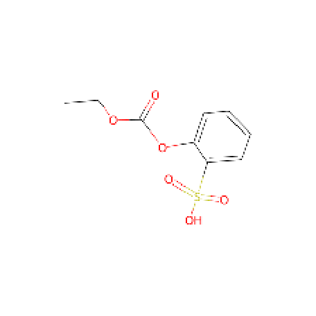 CCOC(=O)Oc1ccccc1S(=O)(=O)O